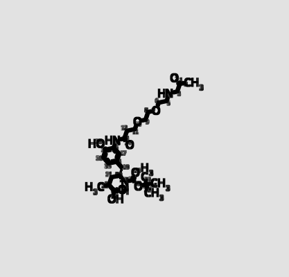 CC(=O)CNCCOCCOCCC(=O)Nc1cc(C[C@@H](CC(C)C(=O)O)NC(=O)OC(C)(C)C)ccc1O